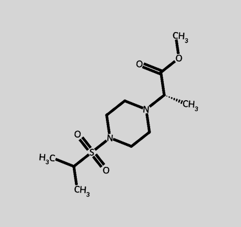 COC(=O)[C@H](C)N1CCN(S(=O)(=O)C(C)C)CC1